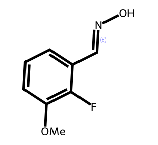 COc1cccc(/C=N/O)c1F